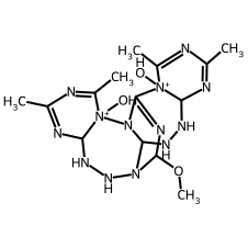 COC1N=C2N3C(NNC4N=C(C)N=C(C)[N+]24O)N1NNC1N=C(C)N=C(C)[N+]13O